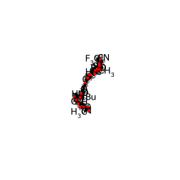 Cc1ncoc1-c1ccc(CNC(=O)[C@@H]2CCCN2C(=O)C(NC(=O)COCCCCOc2ccc(-c3ccc(N4C(=S)N(c5ccc(C#N)c(C(F)(F)F)c5)C(=O)C4(C)C)c(F)c3)cc2)C(C)(C)C)cc1